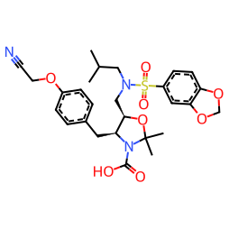 CC(C)CN(C[C@H]1OC(C)(C)N(C(=O)O)[C@H]1Cc1ccc(OCC#N)cc1)S(=O)(=O)c1ccc2c(c1)OCO2